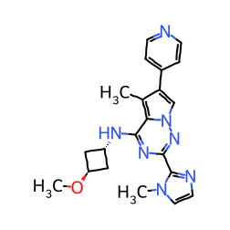 CO[C@H]1C[C@H](Nc2nc(-c3nccn3C)nn3cc(-c4ccncc4)c(C)c23)C1